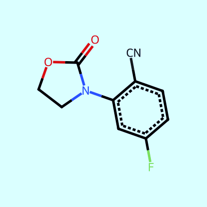 N#Cc1ccc(F)cc1N1CCOC1=O